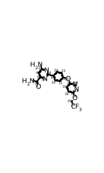 NC(=O)c1cc(N)nc(-c2ccc(Oc3ccc(OCC(F)(F)F)nn3)cc2)n1